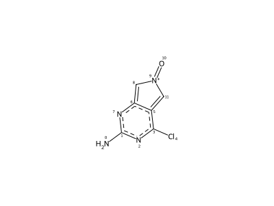 Nc1nc(Cl)c2c(n1)=C[N+](=O)C=2